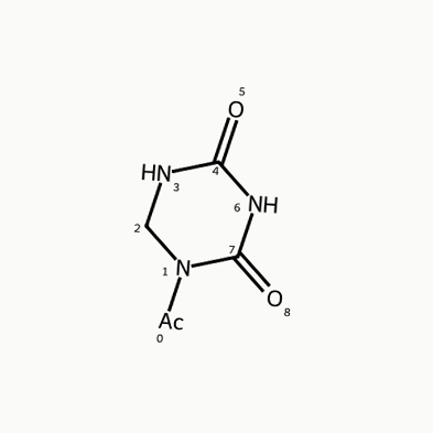 CC(=O)N1CNC(=O)NC1=O